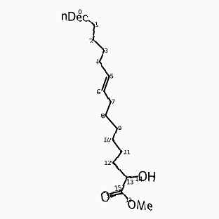 CCCCCCCCCCCCCCC=CCCCCCCC(O)C(=O)OC